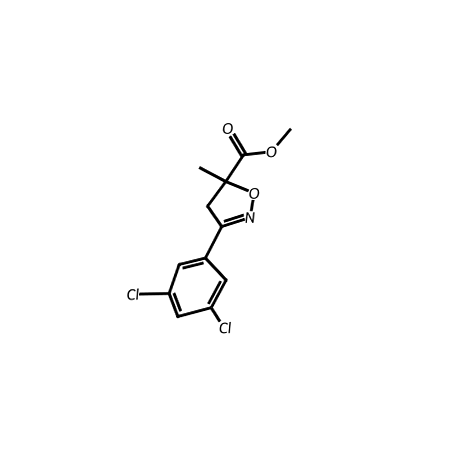 COC(=O)C1(C)CC(c2cc(Cl)cc(Cl)c2)=NO1